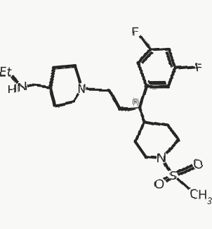 CCNC1CCN(CC[C@@H](c2cc(F)cc(F)c2)C2CCN(S(C)(=O)=O)CC2)CC1